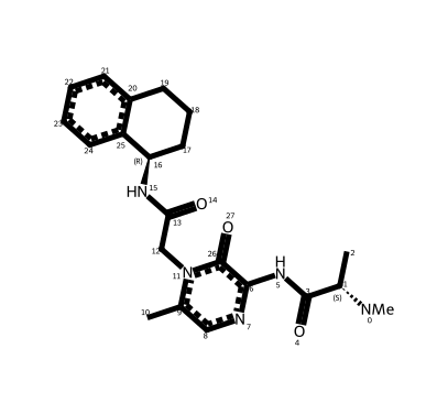 CN[C@@H](C)C(=O)Nc1ncc(C)n(CC(=O)N[C@@H]2CCCc3ccccc32)c1=O